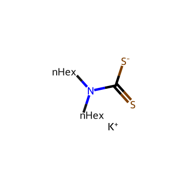 CCCCCCN(CCCCCC)C(=S)[S-].[K+]